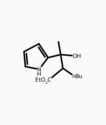 CCCCC(C(=O)OCC)C(C)(O)c1ccc[nH]1